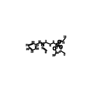 C=CN(CCC[Si](OCC)(OCC)OCC)Cc1ccccc1